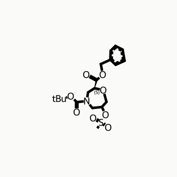 CC(C)(C)OC(=O)N1CC(OS(C)(=O)=O)CO[C@H](C(=O)OCc2ccccc2)C1